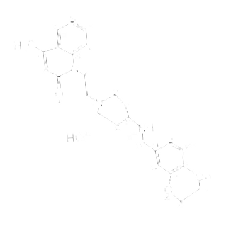 Cc1cc(=O)n(CCN2CCC(NCc3ccc4c(c3)OCCO4)CC2)c2ccccc12.Cl